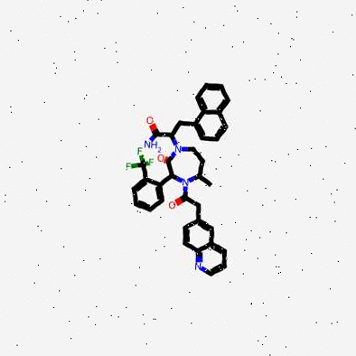 CC1CCN(C(Cc2cccc3ccccc23)C(N)=O)C(=O)C(c2ccccc2C(F)(F)F)N1C(=O)Cc1ccc2ncccc2c1